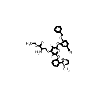 CCOC(=O)C(N)CSc1c(F)c(Oc2cc(C#N)ccc2OCc2ccccc2)nc(Oc2ccccc2C2NCCN2C)c1F